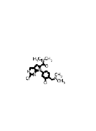 CN(C)Cc1ccc(-n2c(C(=O)N(C)C)cc3cnc(Cl)nc32)cc1Cl